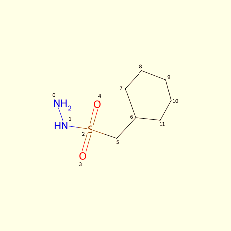 NNS(=O)(=O)CC1CCCCC1